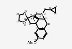 COc1ccc2c(c1)[C@]13CCN(CC4CC4)C(C2)C1=CCC1(C3)OCCO1